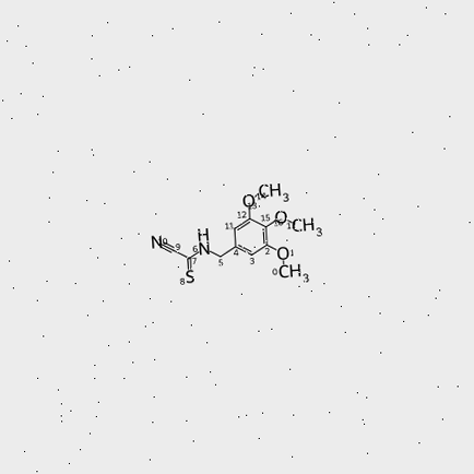 COc1cc(CNC(=S)C#N)cc(OC)c1OC